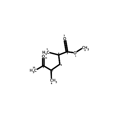 COC(=O)C(C)CC(C)C(C)=O